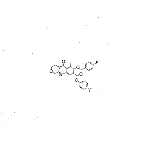 Cc1c(OCc2ccc(F)cc2)c(C(=O)Oc2ccc(F)cc2)cc(Br)c1C(=O)N1CCOCC1